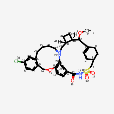 COC1C2=CCC(CC2)CS(=O)(=O)NC(=O)c2ccc3c(c2)N(CCCCc2cc(Cl)ccc2CO3)C[C@@H]2CC[C@@H]12